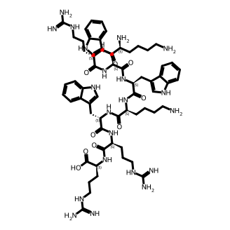 N=C(N)NCCC[C@H](NC(=O)[C@H](CCCNC(=N)N)NC(=O)[C@H](Cc1c[nH]c2ccccc12)NC(=O)[C@H](CCCCN)NC(=O)[C@H](Cc1c[nH]c2ccccc12)NC(=O)[C@H](Cc1c[nH]c2ccccc12)NC(=O)[C@H](CCCNC(=N)N)NC(=O)[C@@H](N)CCCCN)C(=O)O